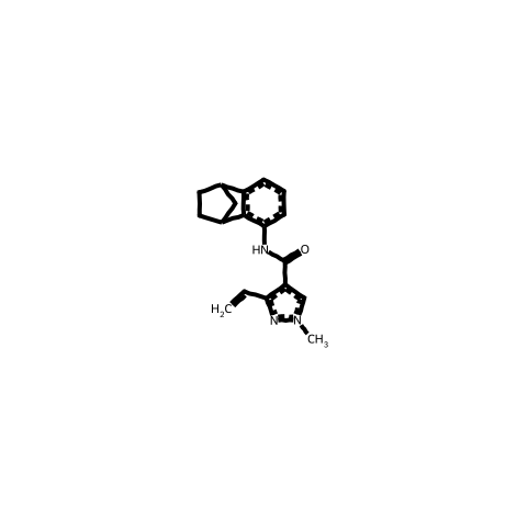 C=Cc1nn(C)cc1C(=O)Nc1cccc2c1C1CCC2C1